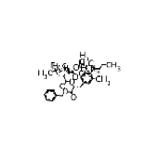 CCCC(C)c1ccc(C[C@@H](OC(=O)[C@H](CC(C)(C)F)N(C)C(=O)OC(C)(C)C)C(=O)OCc2ccccc2)cc1C